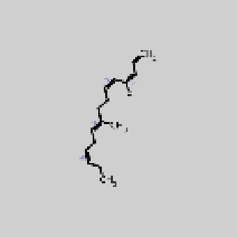 C=C/C=C(F)\C=C/CC/C(C)=C/C/C=C\CC